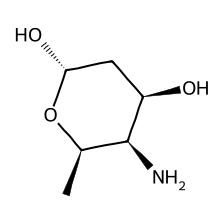 C[C@H]1O[C@H](O)C[C@@H](O)[C@H]1N